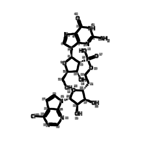 Nc1nc2c(ncn2[C@@H]2O[C@H](CO)[C@@H](O)[C@H]2P(=O)(O)OCC[C@H]2O[C@@H](n3ccc4c(Cl)ncnc43)[C@H](O)[C@@H]2O)c(=O)[nH]1